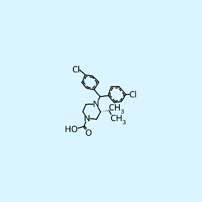 CC(C)[C@@H]1CN(C(=O)O)CCN1C(c1ccc(Cl)cc1)c1ccc(Cl)cc1